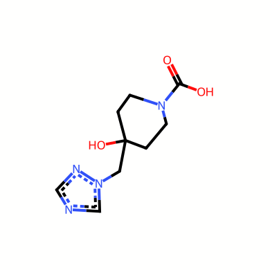 O=C(O)N1CCC(O)(Cn2cncn2)CC1